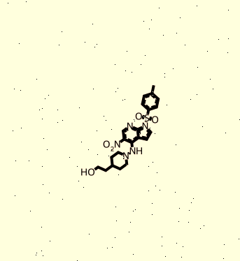 Cc1ccc(S(=O)(=O)n2ccc3c(NN4CCC(CCO)CC4)c([N+](=O)[O-])cnc32)cc1